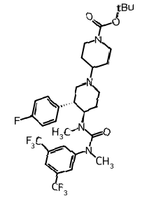 CN(C(=O)N(C)[C@@H]1CCN(C2CCN(C(=O)OC(C)(C)C)CC2)C[C@H]1c1ccc(F)cc1)c1cc(C(F)(F)F)cc(C(F)(F)F)c1